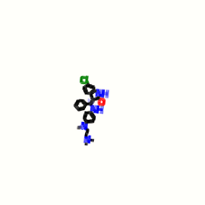 CN(C)CCN(C)c1ccc(N/C(=C2\C(=O)Nc3cc(Cl)ccc32)c2ccccc2)cc1